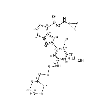 Cl.Cl.Cl.O=C(ONC1CC1)c1cccc2sc(-c3nc(NCCCN4CCNCC4)ncc3F)cc12